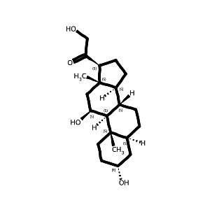 C[C@]12CC[C@@H](O)C[C@@H]1CC[C@@H]1[C@@H]2[C@@H](O)C[C@]2(C)[C@@H](C(=O)CO)CC[C@@H]12